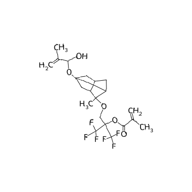 C=C(C)C(=O)OC(COC1(C)C2CC3(OC(O)C(=C)C)CC2CC31)(C(F)(F)F)C(F)(F)F